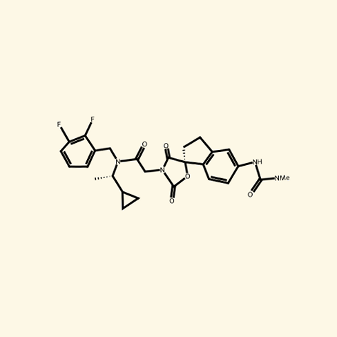 CNC(=O)Nc1ccc2c(c1)CC[C@@]21OC(=O)N(CC(=O)N(Cc2cccc(F)c2F)[C@@H](C)C2CC2)C1=O